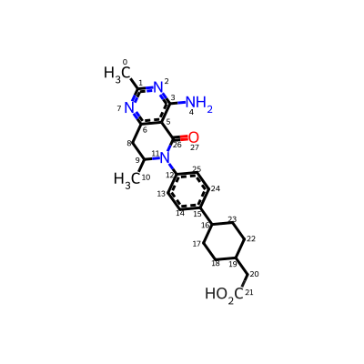 Cc1nc(N)c2c(n1)CC(C)N(c1ccc(C3CCC(CC(=O)O)CC3)cc1)C2=O